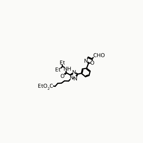 CCOC(=O)CCCCCn1nc(-c2cccc(-c3ncc(C=O)o3)c2)nc1C(=O)NC(CC)CC